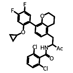 CC(=O)C(Cc1ccc(-c2cc(F)c(F)cc2OC2CC2)c2c1CCCO2)NC(=O)c1c(Cl)cccc1Cl